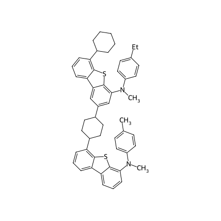 CCc1ccc(N(C)c2cc(C3CCC(c4cccc5c4sc4c(N(C)c6ccc(C)cc6)cccc45)CC3)cc3c2sc2c(C4CCCCC4)cccc23)cc1